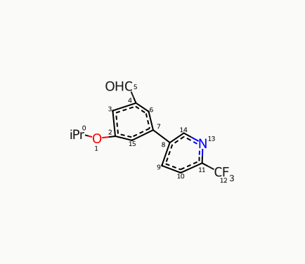 CC(C)Oc1cc(C=O)cc(-c2ccc(C(F)(F)F)nc2)c1